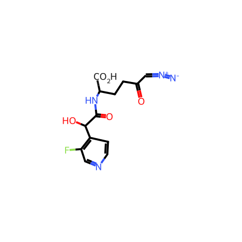 [N-]=[N+]=CC(=O)CCC(NC(=O)C(O)c1ccncc1F)C(=O)O